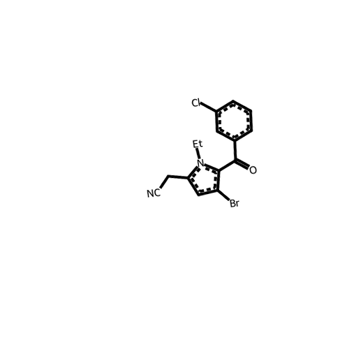 CCn1c(CC#N)cc(Br)c1C(=O)c1cccc(Cl)c1